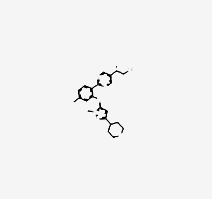 Cc1ccc(-c2ncc([C@@H](F)CN)cn2)c(Oc2cc(C3CCOCC3)nn2C)c1